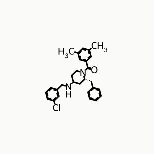 Cc1cc(C)cc(C(=O)N2CC[C@H](NCc3cccc(Cl)c3)C[C@H]2Cc2ccccc2)c1